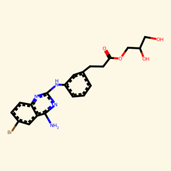 Nc1nc(Nc2cccc(CCC(=O)OCC(O)CO)c2)nc2ccc(Br)cc12